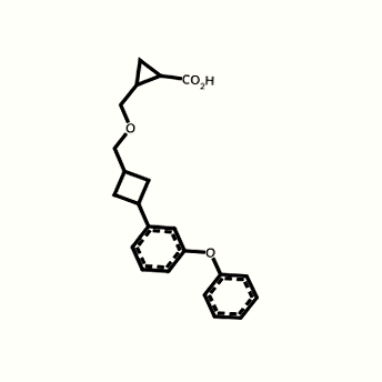 O=C(O)C1CC1COCC1CC(c2cccc(Oc3ccccc3)c2)C1